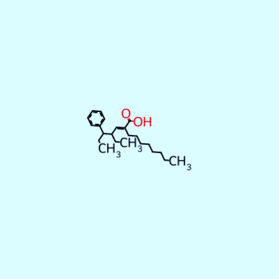 CCCCCCCCC(=CC(CC)C(CC)c1ccccc1)C(=O)O